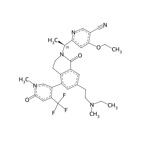 CCOc1cc([C@H](C)N2CCc3c(cc(CCN(C)CC)cc3-c3cn(C)c(=O)cc3C(F)(F)F)C2=O)ncc1C#N